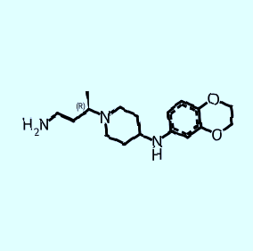 C[C@H](CCN)N1CCC(Nc2ccc3c(c2)OCCO3)CC1